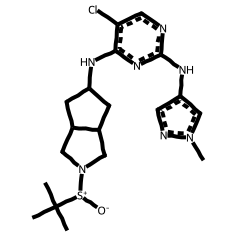 Cn1cc(Nc2ncc(Cl)c(NC3CC4CN([S+]([O-])C(C)(C)C)CC4C3)n2)cn1